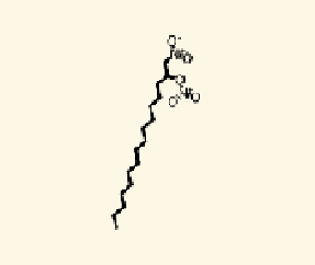 CCCCCCCCCCCCCCC(C[N+](=O)[O-])O[N+](=O)[O-]